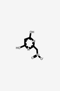 O=[N+]([O-])Cc1nc(O)cc(O)n1